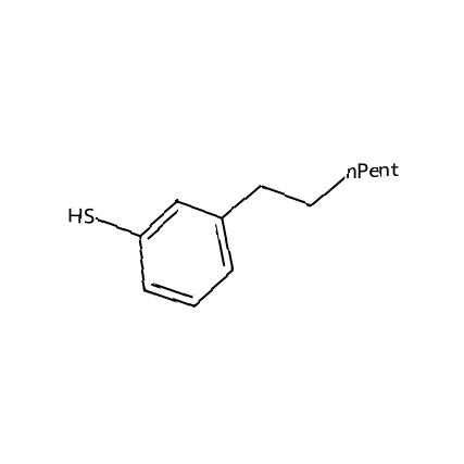 CCCCCCCc1cccc(S)c1